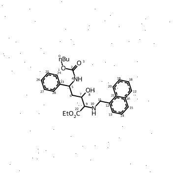 CCCCOC(=O)NC(CC(O)C(NCc1cccc2ccccc12)C(=O)OCC)c1ccccc1